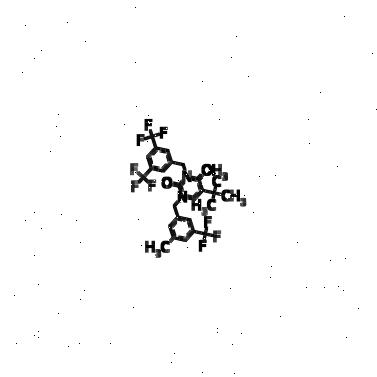 Cc1cc(Cn2cc(C(C)(C)C)c(=O)n(Cc3cc(C(F)(F)F)cc(C(F)(F)F)c3)c2=O)cc(C(F)(F)F)c1